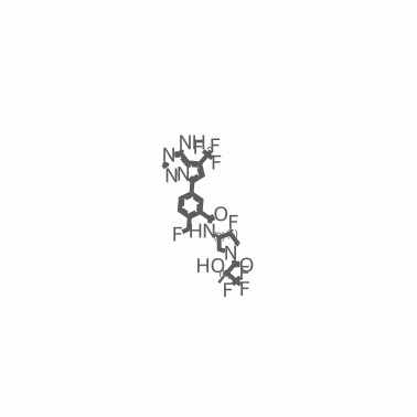 C[C@@](O)(C(=O)N1C[C@H](F)[C@H](NC(=O)c2cc(-c3cc(C(F)(F)F)c4c(N)ncnn34)ccc2CF)C1)C(F)(F)F